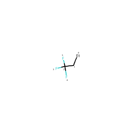 [CH2]CCC(F)(F)F